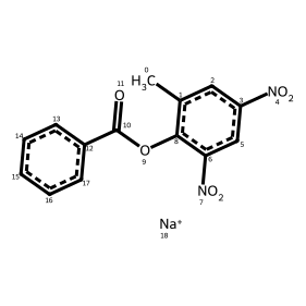 Cc1cc([N+](=O)[O-])cc([N+](=O)[O-])c1OC(=O)c1ccccc1.[Na+]